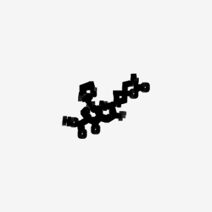 CN1CC2(CN(c3nc4c(cc3F)c(=O)c(C(=O)O)cn4-c3nccs3)C2)OC1=O